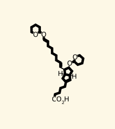 O=C(O)CCCCC1=C[C@@H]2C[C@@H](OC3CCCCO3)[C@H](C=CCCCCCC=COC3CCCCO3)[C@@H]2C1